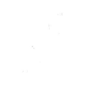 CCC(=O)NCC[PH](=O)CC